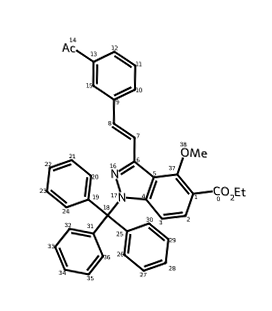 CCOC(=O)c1ccc2c(c(C=Cc3cccc(C(C)=O)c3)nn2C(c2ccccc2)(c2ccccc2)c2ccccc2)c1OC